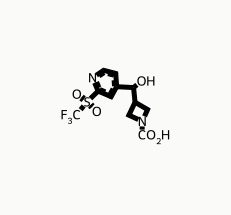 O=C(O)N1CC(C(O)c2ccnc(S(=O)(=O)C(F)(F)F)c2)C1